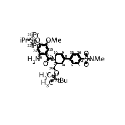 CNS(=O)(=O)c1ccc(C2=CCN(C(=O)c3cc(OC)c(O[Si](C(C)C)(C(C)C)C(C)C)cc3N)[C@H](CO[Si](C)(C)C(C)(C)C)C2)cc1